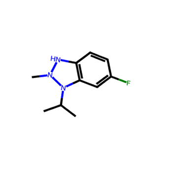 CC(C)N1c2cc(F)ccc2NN1C